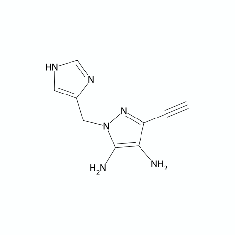 C#Cc1nn(Cc2c[nH]cn2)c(N)c1N